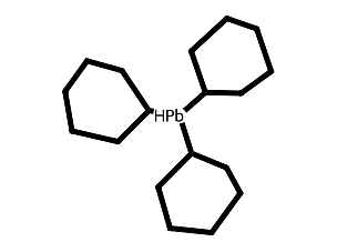 C1CC[CH]([PbH]([CH]2CCCCC2)[CH]2CCCCC2)CC1